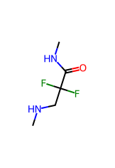 CNCC(F)(F)C(=O)NC